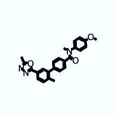 COc1ccc(N(C)C(=O)c2ccc(-c3cc(-c4nnc(C)o4)ccc3C)cc2)cc1